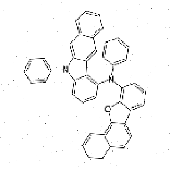 C1=Cc2c(ccc3c2oc2c(N(c4ccccc4)c4cccc5c4c4cc6ccccc6cc4n5-c4ccccc4)cccc23)CC1